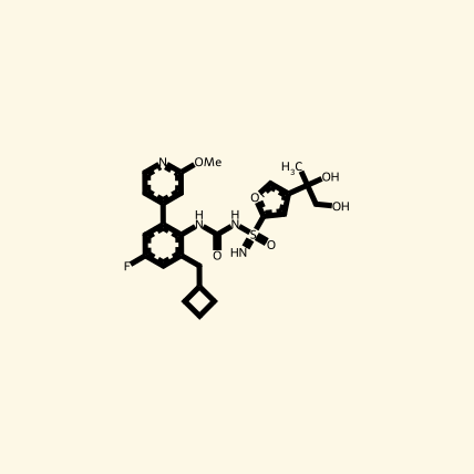 COc1cc(-c2cc(F)cc(CC3CCC3)c2NC(=O)NS(=N)(=O)c2cc(C(C)(O)CO)co2)ccn1